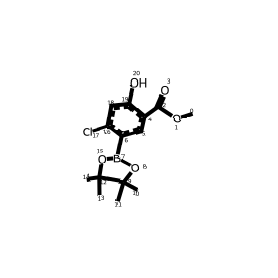 COC(=O)c1cc(B2OC(C)(C)C(C)(C)O2)c(Cl)cc1O